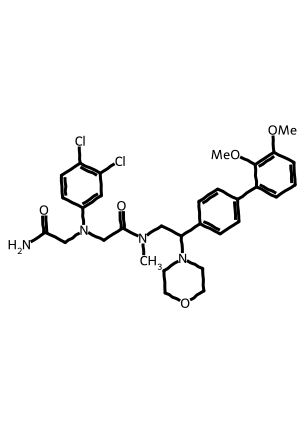 COc1cccc(-c2ccc(C(CN(C)C(=O)CN(CC(N)=O)c3ccc(Cl)c(Cl)c3)N3CCOCC3)cc2)c1OC